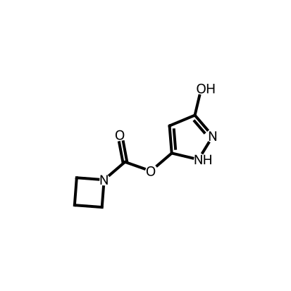 O=C(Oc1cc(O)n[nH]1)N1CCC1